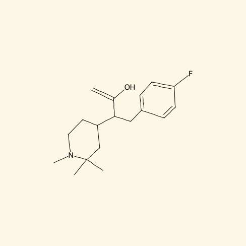 C=C(O)C(Cc1ccc(F)cc1)C1CCN(C)C(C)(C)C1